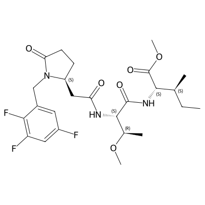 CC[C@H](C)[C@H](NC(=O)[C@@H](NC(=O)C[C@@H]1CCC(=O)N1Cc1cc(F)cc(F)c1F)[C@@H](C)OC)C(=O)OC